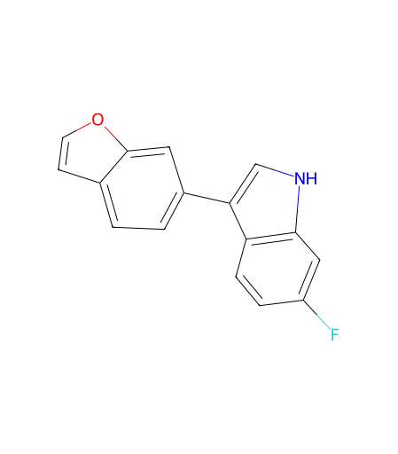 Fc1ccc2c(-c3ccc4ccoc4c3)c[nH]c2c1